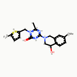 COc1ccc2c(c1)CN(c1nc(C)n(Cc3ccc(C(F)(F)F)s3)c(=O)n1)CC2O